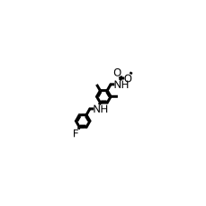 COC(=O)NCc1c(C)cc(NCc2ccc(F)cc2)cc1C